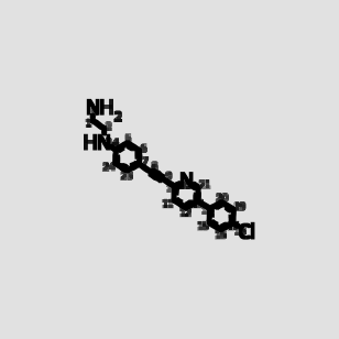 NCCNc1ccc(C#Cc2ccc(-c3ccc(Cl)cc3)cn2)cc1